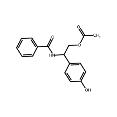 CC(=O)OCC(NC(=O)c1ccccc1)c1ccc(O)cc1